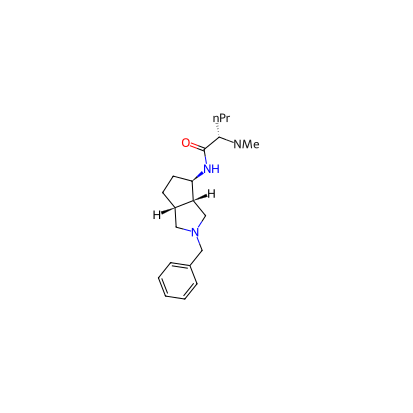 CCC[C@H](NC)C(=O)N[C@@H]1CC[C@H]2CN(Cc3ccccc3)C[C@H]21